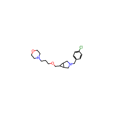 Clc1ccc(CN2CC3C(COCCCN4CCOCC4)C3C2)cc1